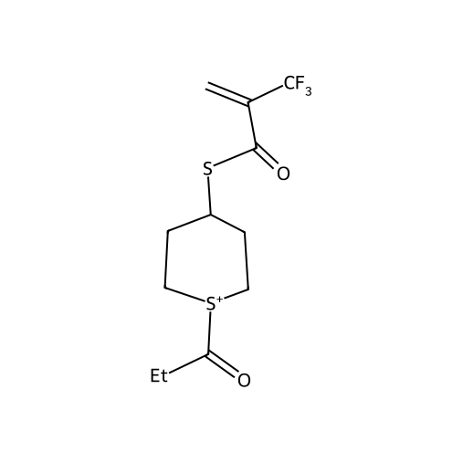 C=C(C(=O)SC1CC[S+](C(=O)CC)CC1)C(F)(F)F